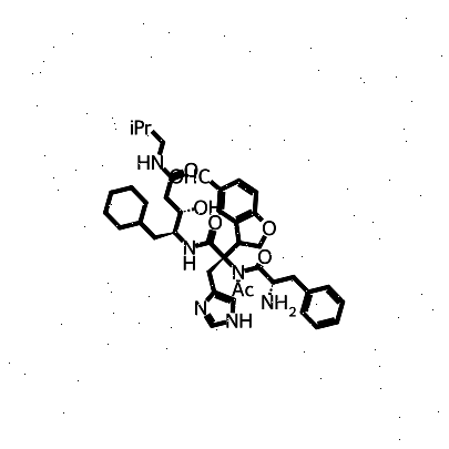 CC(=O)N(C(=O)[C@@H](N)Cc1ccccc1)[C@](Cc1c[nH]cn1)(C(=O)N[C@@H](CC1CCCCC1)[C@@H](O)CC(=O)NCC(C)C)C1COc2ccc(C=O)cc21